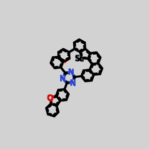 c1ccc(-c2nc(-c3ccc4c(c3)oc3ccccc34)nc(-c3ccc4ccc5ccc6c7cccc(-c8ccccc8)c7[se]c6c5c4c3)n2)cc1